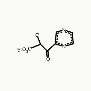 CCOC(=O)C(Cl)C(=O)c1cnccn1